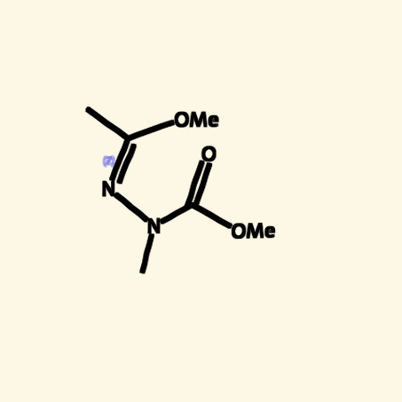 COC(=O)N(C)/N=C(/C)OC